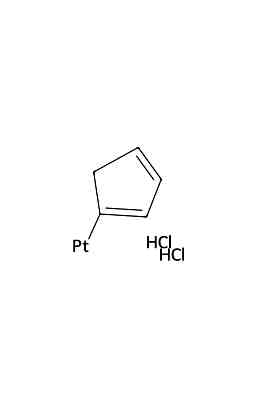 Cl.Cl.[Pt][C]1=CC=CC1